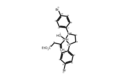 C=C(CC(=O)OCC)[PH]1(O)N(c2ccc(Br)cc2)CCN1c1ccc(Br)cc1